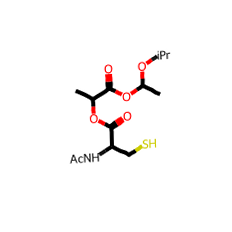 CC(=O)NC(CS)C(=O)OC(C)C(=O)OC(C)OC(C)C